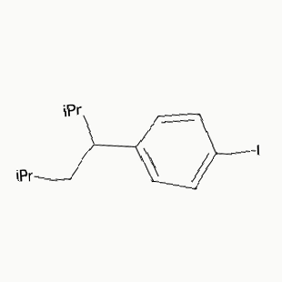 CC(C)CC(c1ccc(I)cc1)C(C)C